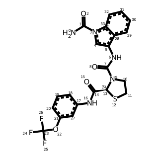 NC(=O)n1cc(NC(=O)N2CCS[C@H]2C(=O)Nc2cccc(OC(F)(F)F)c2)c2ccccc21